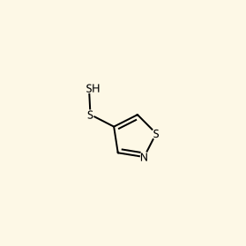 SSc1cnsc1